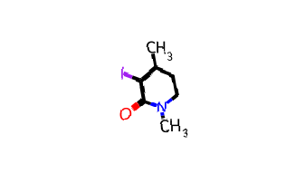 CC1CCN(C)C(=O)C1I